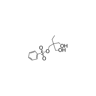 CCC(CO)(CO)COS(=O)(=O)c1ccccc1